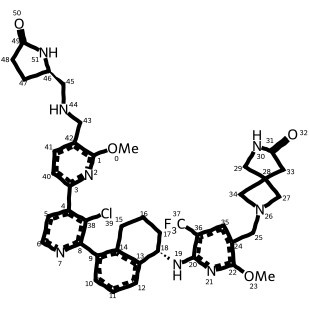 COc1nc(-c2ccnc(-c3cccc4c3CCC[C@@H]4Nc3nc(OC)c(CN4CC5(CNC(=O)C5)C4)cc3C(F)(F)F)c2Cl)ccc1CNC[C@H]1CCC(=O)N1